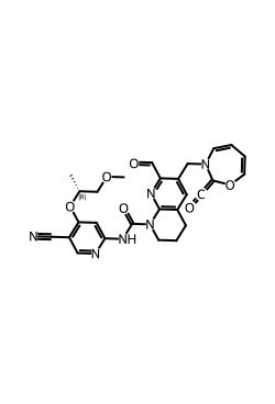 COC[C@@H](C)Oc1cc(NC(=O)N2CCCc3cc(CN4C=CC=COC4=C=O)c(C=O)nc32)ncc1C#N